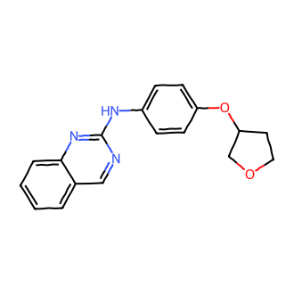 c1ccc2nc(Nc3ccc(OC4CCOC4)cc3)ncc2c1